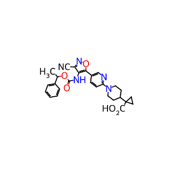 CC(OC(=O)Nc1c(C#N)noc1-c1ccc(N2CCC(C3(C(=O)O)CC3)CC2)nc1)c1ccccc1